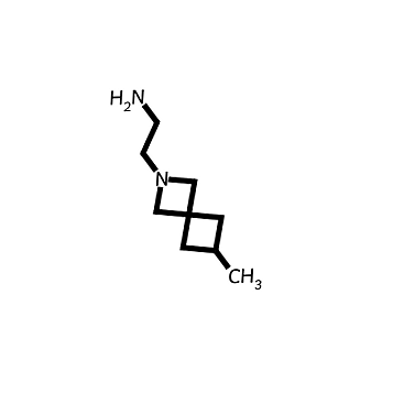 CC1CC2(C1)CN(CCN)C2